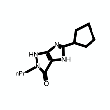 CCCn1[nH]c2nc(C3CCCC3)[nH]c2c1=O